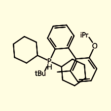 Cc1cccc(OC(C)C)c1-c1ccccc1[PH](C1CCCCC1)(C1CCCCC1)C(C)(C)C